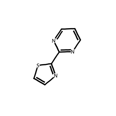 c1cnc(-c2nccs2)nc1